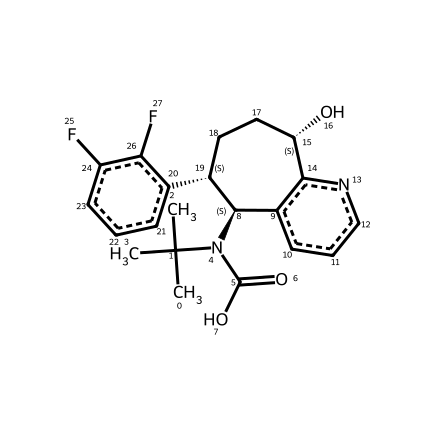 CC(C)(C)N(C(=O)O)[C@@H]1c2cccnc2[C@@H](O)CC[C@H]1c1cccc(F)c1F